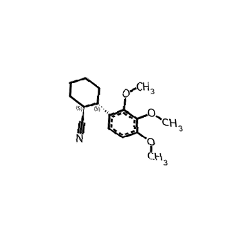 COc1ccc([C@H]2CCCC[C@@H]2C#N)c(OC)c1OC